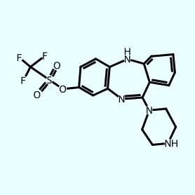 O=S(=O)(Oc1ccc2c(c1)N=C(N1CCNCC1)c1ccccc1N2)C(F)(F)F